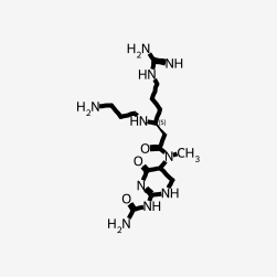 CN(C(=O)C[C@H](CCCNC(=N)N)NCCCN)C1CNC(NC(N)=O)=NC1=O